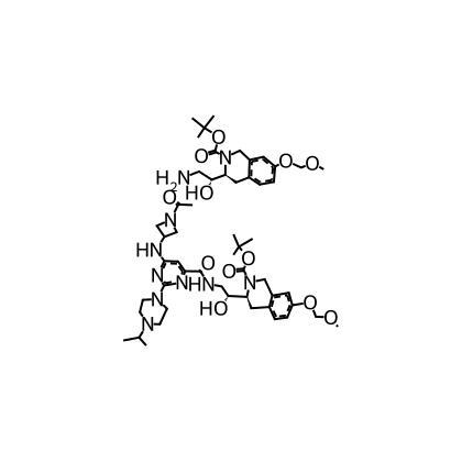 COCOc1ccc2c(c1)CN(C(=O)OC(C)(C)C)[C@H]([C@H](O)CN)C2.COCOc1ccc2c(c1)CN(C(=O)OC(C)(C)C)[C@H]([C@H](O)CNC(=O)c1cc(NC3CN(C(C)=O)C3)nc(N3CCN(C(C)C)CC3)n1)C2